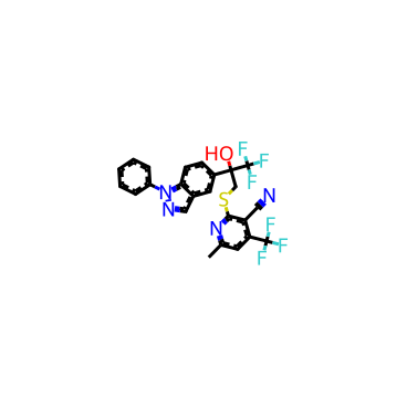 Cc1cc(C(F)(F)F)c(C#N)c(SCC(O)(c2ccc3c(cnn3-c3ccccc3)c2)C(F)(F)F)n1